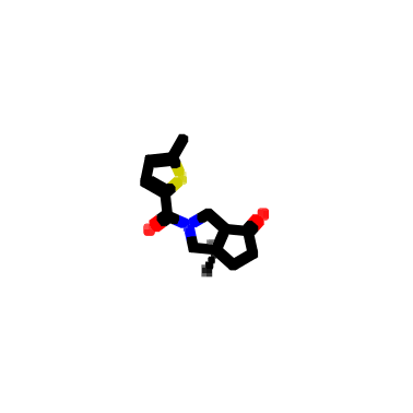 Cc1ccc(C(=O)N2CC3C(=O)CC[C@H]3C2)s1